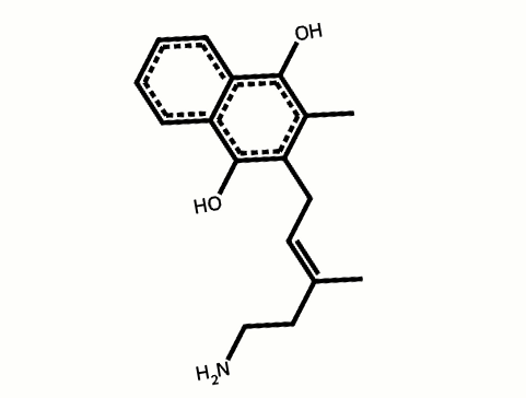 C/C(=C\Cc1c(C)c(O)c2ccccc2c1O)CCN